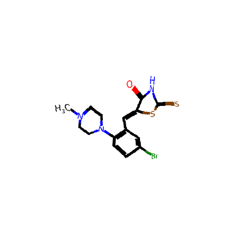 CN1CCN(c2ccc(Br)cc2/C=C2\SC(=S)NC2=O)CC1